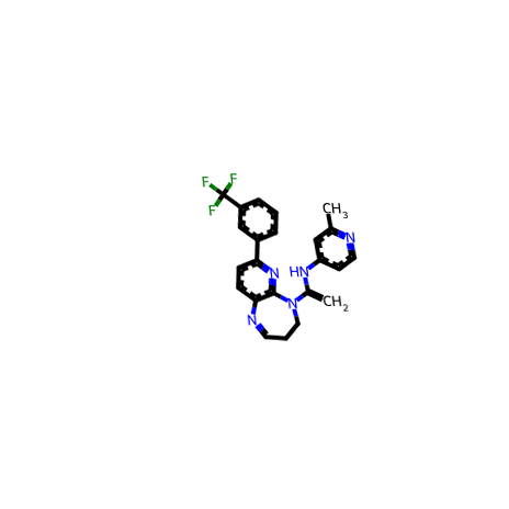 C=C(Nc1ccnc(C)c1)N1CCC=Nc2ccc(-c3cccc(C(F)(F)F)c3)nc21